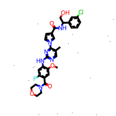 COc1cc(C(=O)N2CCOCC2)c(F)cc1Nc1ncc(C)c(-n2ccc(C(=O)NC(CO)c3cccc(Cl)c3)c2)n1